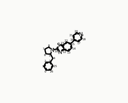 c1ccc(CC2CCCN2c2nc3ccc(-c4ccncc4)cc3s2)cc1